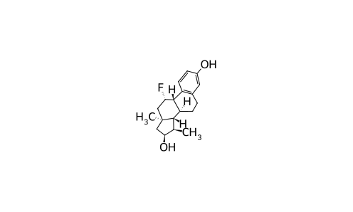 C[C@@H]1[C@H]2[C@@H]3CCc4cc(O)ccc4[C@H]3[C@@H](F)C[C@]2(C)C[C@@H]1O